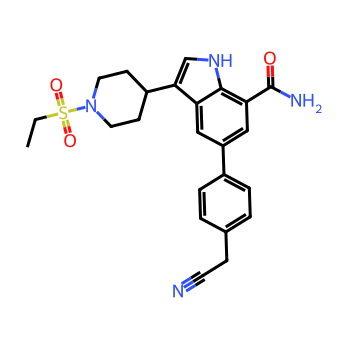 CCS(=O)(=O)N1CCC(c2c[nH]c3c(C(N)=O)cc(-c4ccc(CC#N)cc4)cc23)CC1